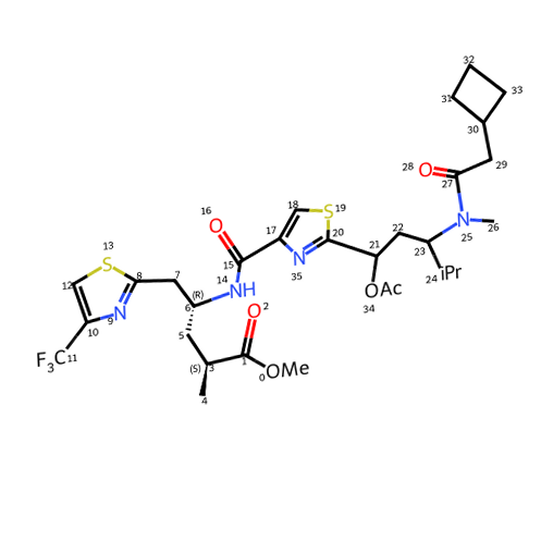 COC(=O)[C@@H](C)C[C@H](Cc1nc(C(F)(F)F)cs1)NC(=O)c1csc(C(CC(C(C)C)N(C)C(=O)CC2CCC2)OC(C)=O)n1